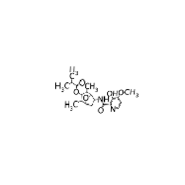 COc1ccnc(C(=O)NC2CC3OC2C(C)C(OC(=O)C(C)C)C3C)c1O